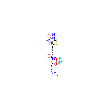 NCCCCCN(OC(=O)C(F)(F)F)C(=O)CCCC[C@@H]1SC[C@@H]2NC(=O)N[C@@H]21